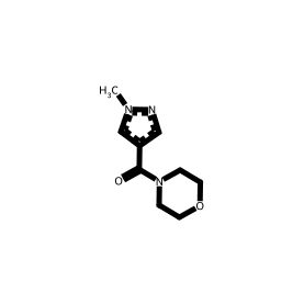 Cn1cc(C(=O)N2CCOCC2)cn1